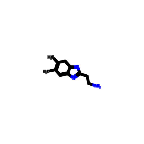 CC1=C(C)CC2=NC(CCN)=NC2=C1